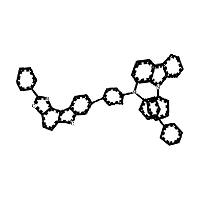 c1ccc(-c2ccc(N(c3ccc(-c4ccc5c(c4)oc4ccc6oc(-c7ccccc7)nc6c45)cc3)c3cccc4c5ccccc5n(-c5ccccc5)c34)cc2)cc1